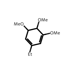 CCC1=CC(OC)C(OC)C(OC)=C1